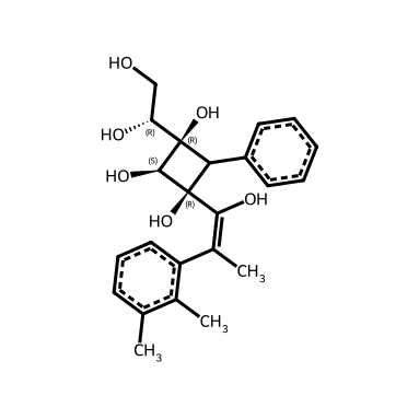 CC(=C(O)[C@@]1(O)C(c2ccccc2)[C@@](O)([C@H](O)CO)[C@@H]1O)c1cccc(C)c1C